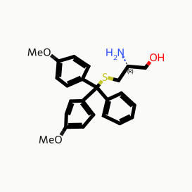 COc1ccc(C(SC[C@H](N)CO)(c2ccccc2)c2ccc(OC)cc2)cc1